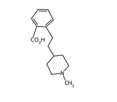 CN1CCC(CCc2ccccc2C(=O)O)CC1